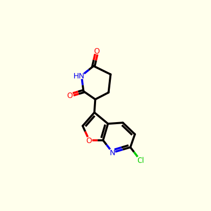 O=C1CCC(c2coc3nc(Cl)ccc23)C(=O)N1